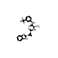 C[C@@H](NC(=O)[C@H]1C[C@@H]1c1nc2ccccc2[nH]1)C(=O)Nc1cccc(C(F)(F)F)c1